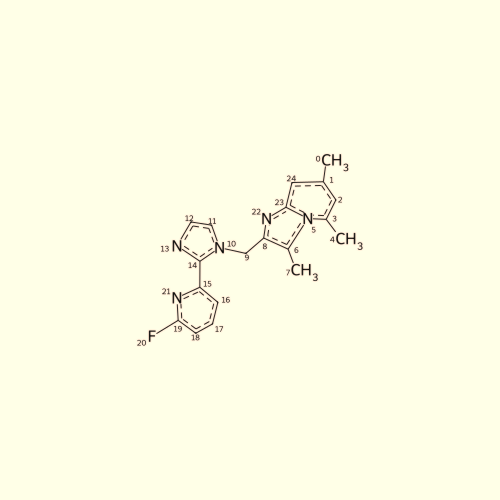 Cc1cc(C)n2c(C)c(Cn3ccnc3-c3cccc(F)n3)nc2c1